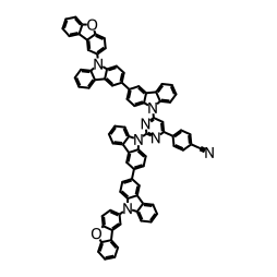 N#Cc1ccc(-c2cc(-n3c4ccccc4c4cc(-c5ccc6c(c5)c5ccccc5n6-c5ccc6oc7ccccc7c6c5)ccc43)nc(-n3c4ccccc4c4cc(-c5ccc6c(c5)c5ccccc5n6-c5ccc6oc7ccccc7c6c5)ccc43)n2)cc1